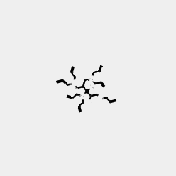 C=CCOCC(O)C(N)(C(CN(CC=C)CC=C)C(O)N(CC=C)CC=C)N(CC=C)CC=C